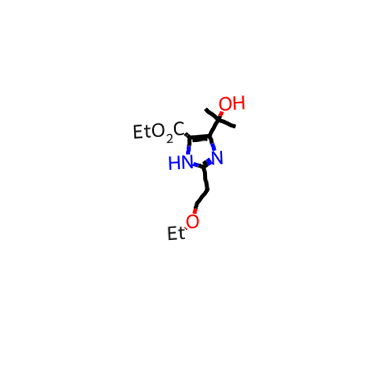 CCOCCc1nc(C(C)(C)O)c(C(=O)OCC)[nH]1